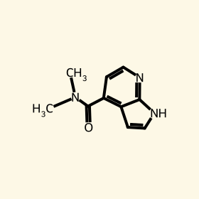 CN(C)C(=O)c1ccnc2[nH]ccc12